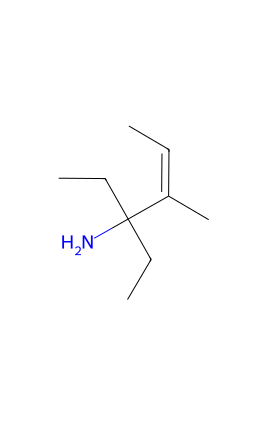 CC=C(C)C(N)(CC)CC